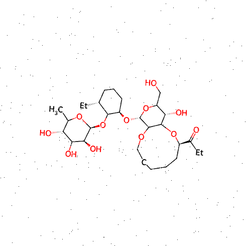 CCC(=O)[C@H]1CCCCCOC2C(O1)[C@@H](O)C(CO)O[C@H]2O[C@@H]1CCC[C@@H](CC)C1O[C@@H]1OC(C)[C@@H](O)C(O)[C@@H]1O